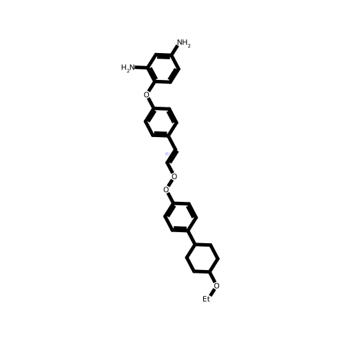 CCOC1CCC(c2ccc(OO/C=C/c3ccc(Oc4ccc(N)cc4N)cc3)cc2)CC1